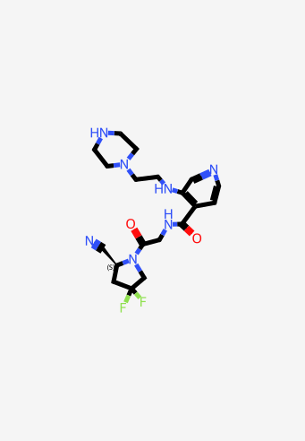 N#C[C@@H]1CC(F)(F)CN1C(=O)CNC(=O)c1ccncc1NCCN1CCNCC1